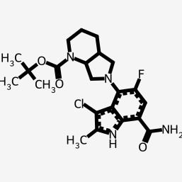 Cc1[nH]c2c(C(N)=O)cc(F)c(N3CC4CCCN(C(=O)OC(C)(C)C)C4C3)c2c1Cl